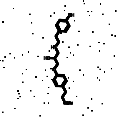 COCCc1ccc(OCC(O)CNCCc2ccc(O)cc2)cc1